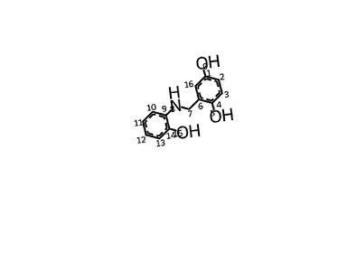 Oc1ccc(O)c(CNc2ccccc2O)c1